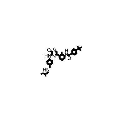 CCC(C)CNCc1ccc(Nc2nc(-c3cccc(NC(=O)c4ccc(C(C)(C)C)cc4)c3C)cn(C)c2=O)cc1